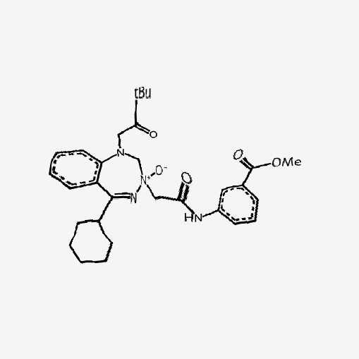 COC(=O)c1cccc(NC(=O)C[N+]2([O-])CN(CC(=O)C(C)(C)C)c3ccccc3C(C3CCCCC3)=N2)c1